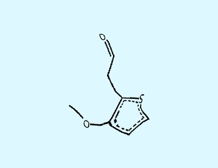 COc1ccsc1CC=O